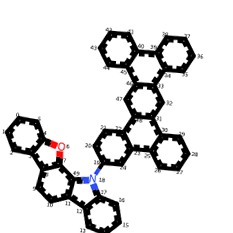 c1ccc2c(c1)oc1c2ccc2c3ccccc3n(-c3ccc4c(c3)c3ccccc3c3cc5c6ccccc6c6ccccc6c5cc43)c21